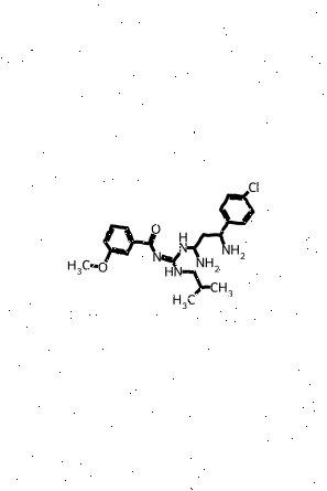 COc1cccc(C(=O)/N=C(/NCC(C)C)NC(N)CC(N)c2ccc(Cl)cc2)c1